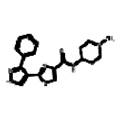 CN1CCC(NC(=O)c2csc(-c3c[nH]nc3-c3ccccc3)n2)CC1